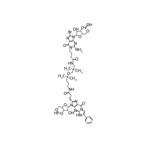 CC(C)(CNC(=O)CCCn1c(N)nc2c(nc(Br)n2C2OC3COP(O)OC3C2O)c1=O)COC(C)(C)CCCNC(=O)CSc1nc2c(=O)n3cc(-c4ccccc4)[nH]c3nc2n1C1OC2COPOC2C1O